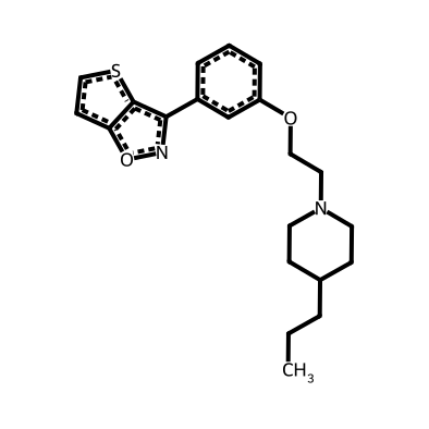 CCCC1CCN(CCOc2cccc(-c3noc4ccsc34)c2)CC1